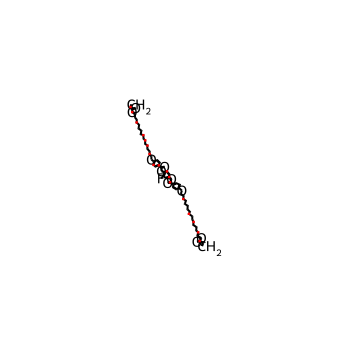 C=CC(=O)OCCCCCCCCCCCCCCCCCOc1ccc(C(=O)Oc2ccc(OC(=O)c3ccc(OCCCCCCCCCCCCCCCCCOC(=O)C=C)cc3)c(F)c2)cc1